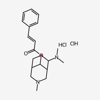 CN1CC2CCC(N(C)C)C(C1)C2OC(=O)/C=C/c1ccccc1.Cl.Cl